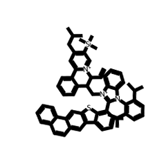 C=CC1C(C[n+]2c(-c3c(C)ccc4c3sc3cc5c(ccc6ccccc65)cc34)n(-c3c(C(C)C)cccc3C(C)C)c3ccccc32)c2ccccc2-c2cc(CC(C)C)c([Si](C)(C)C)c[n+]21